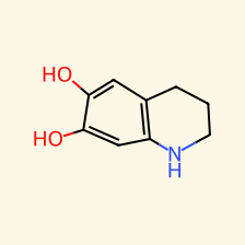 Oc1cc2c(cc1O)NCCC2